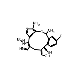 CCN/C1=C(\C=N)C/C(=C/O)C(=N)c2ccc(F)cc2C(C)Oc2cc1cnc2N